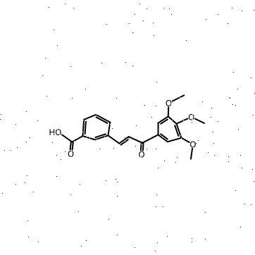 COc1cc(C(=O)/C=C/c2cccc(C(=O)O)c2)cc(OC)c1OC